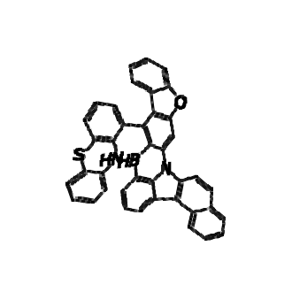 B1c2c(cc3oc4ccccc4c3c2-c2cccc3c2Nc2ccccc2S3)-n2c3ccc4ccccc4c3c3cccc1c32